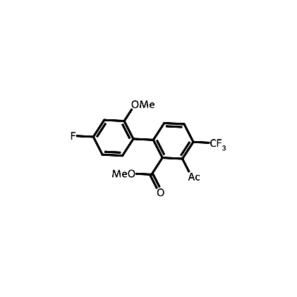 COC(=O)c1c(-c2ccc(F)cc2OC)ccc(C(F)(F)F)c1C(C)=O